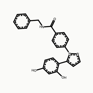 O=C(NCc1ccccc1)c1ccc(-n2nccc2-c2ccc(O)cc2O)cc1